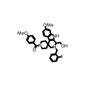 COc1ccc(C(=O)N2CCC3(CC2)CN(Cc2ccccc2F)C(CO)c2[nH]c4cc(OC)ccc4c23)cc1